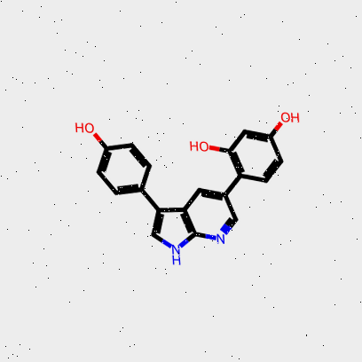 Oc1ccc(-c2c[nH]c3ncc(-c4ccc(O)cc4O)cc23)cc1